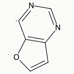 [c]1ncnc2ccoc12